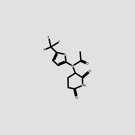 CC(=O)N(c1ccc(C(F)(F)F)s1)C1CCC(=O)NC1=O